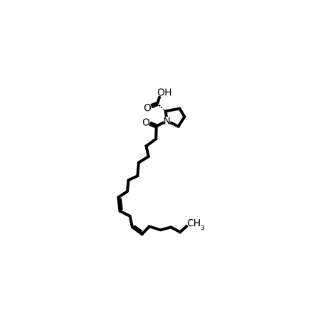 CCCCC/C=C\C/C=C\CCCCCCCC(=O)N1CCC[C@H]1C(=O)O